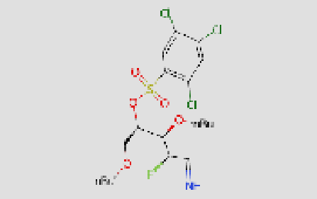 CCCCOC[C@@H](OS(=O)(=O)c1cc(Cl)c(Cl)cc1Cl)[C@@H](OCCCC)[C@H](F)C=N